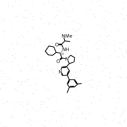 CNC(C)C(=O)N[C@H](C(=O)N1CCCC1c1cncc(-c2cc(C)cc(C)c2)c1)C1CCCCC1